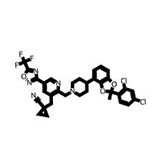 CC1(c2ccc(Cl)cc2Cl)Oc2cccc(C3CCN(Cc4ncc(-c5noc(C(F)(F)F)n5)cc4CC4(C#N)CC4)CC3)c2O1